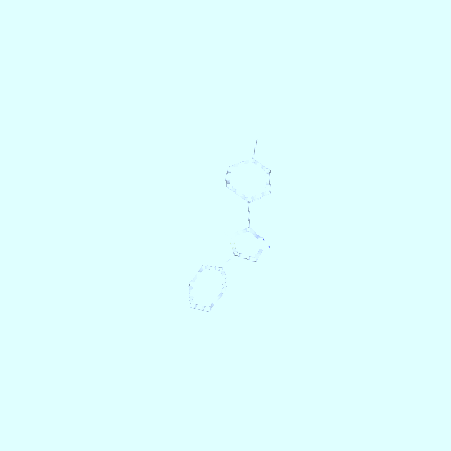 Cc1ccc(-c2ncc(-c3ccccc3)s2)cc1